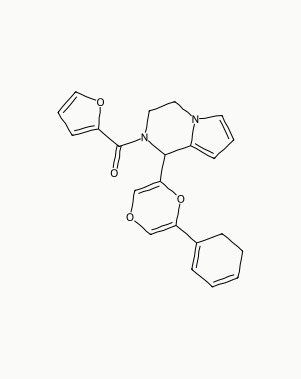 O=C(c1ccco1)N1CCn2cccc2C1C1=COC=C(C2=CC=CCC2)O1